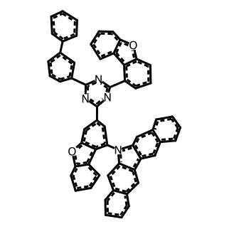 c1ccc(-c2cccc(-c3nc(-c4cc(-n5c6cc7ccccc7cc6c6cc7ccccc7cc65)c5c(c4)oc4ccccc45)nc(-c4cccc5oc6ccccc6c45)n3)c2)cc1